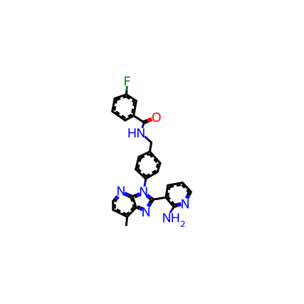 Cc1ccnc2c1nc(-c1cccnc1N)n2-c1ccc(CNC(=O)c2cccc(F)c2)cc1